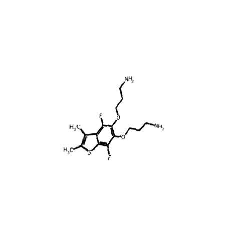 Cc1sc2c(F)c(OCCCN)c(OCCCN)c(F)c2c1C